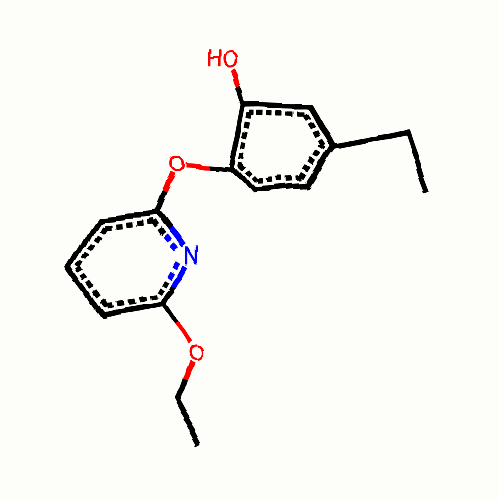 CCOc1cccc(Oc2ccc(CC)cc2O)n1